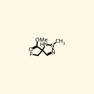 COC(=O)C1(CF)C=NN(C)N1